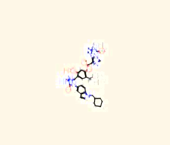 CC(C)c1cc(-c2n[nH]c(=O)n2-c2ccc3c(ccn3CC3CCCCC3)c2)c(O)cc1OC(=O)c1ncn2c(=O)n(C)nnc12